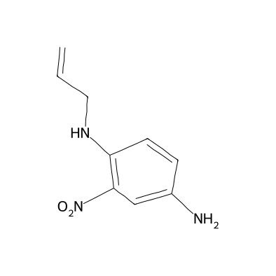 C=CCNc1ccc(N)cc1[N+](=O)[O-]